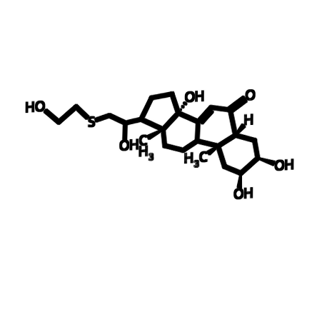 C[C@]12C[C@H](O)[C@H](O)C[C@H]1C(=O)C=C1C2CC[C@]2(C)C(C(O)CSCCO)CC[C@@]12O